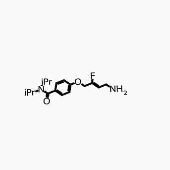 CC(C)N(C(=O)c1ccc(OCC(F)=CCN)cc1)C(C)C